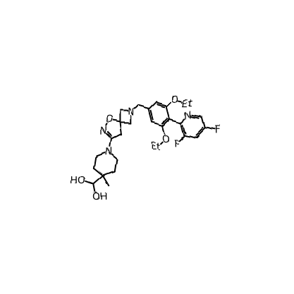 CCOc1cc(CN2CC3(CC(N4CCC(C)(C(O)O)CC4)=NO3)C2)cc(OCC)c1-c1ncc(F)cc1F